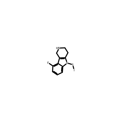 Fc1cccc2c1c1c(n2SI)CCNC1